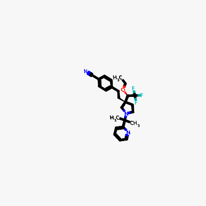 CCO[C@@H](C(F)(F)F)[C@]1(CCc2ccc(C#N)cc2)CCN(C(C)(C)c2ccccn2)C1